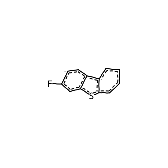 Fc1[c]cc2c(c1)sc1ccccc12